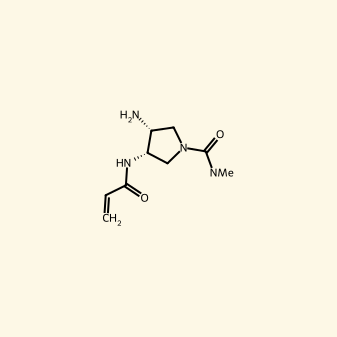 C=CC(=O)N[C@H]1CN(C(=O)NC)C[C@H]1N